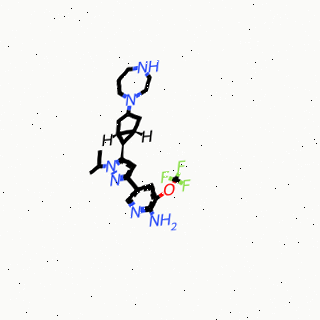 CC(C)n1nc(-c2cnc(N)c(OC(F)(F)F)c2)cc1[C@H]1[C@@H]2CC(N3CCCNCC3)C[C@@H]21